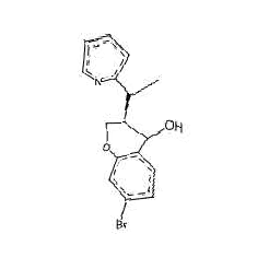 CC(c1ccccn1)[C@@H]1COc2cc(Br)ccc2C1O